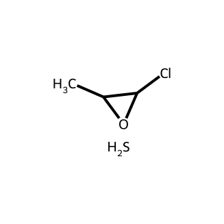 CC1OC1Cl.S